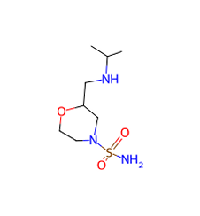 CC(C)NCC1CN(S(N)(=O)=O)CCO1